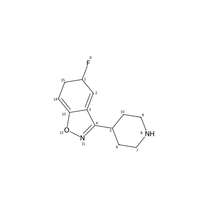 FC1C=c2c(C3CCNCC3)noc2=CC1